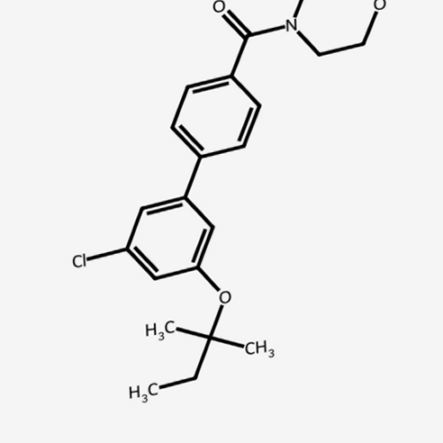 CCC(C)(C)Oc1cc(Cl)cc(-c2ccc(C(=O)N3CCOCC3)cc2)c1